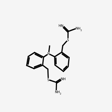 CN(c1ccccc1CSC(=N)N)c1ccccc1CSC(=N)N